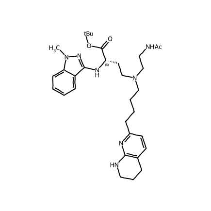 CC(=O)NCCN(CCCCc1ccc2c(n1)NCCC2)CC[C@H](Nc1nn(C)c2ccccc12)C(=O)OC(C)(C)C